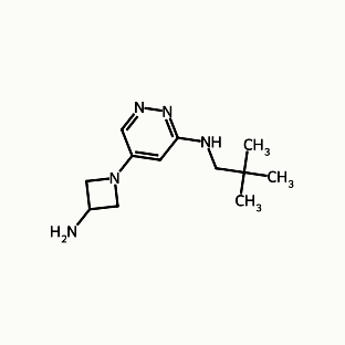 CC(C)(C)CNc1cc(N2CC(N)C2)cnn1